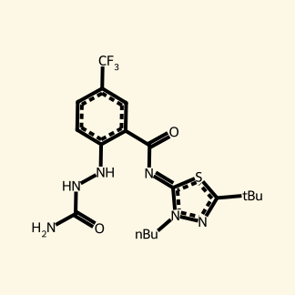 CCCCn1nc(C(C)(C)C)sc1=NC(=O)c1cc(C(F)(F)F)ccc1NNC(N)=O